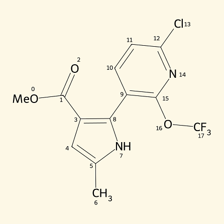 COC(=O)c1cc(C)[nH]c1-c1ccc(Cl)nc1OC(F)(F)F